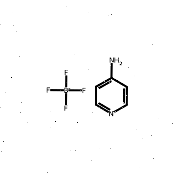 F[B-](F)(F)F.Nc1ccncc1